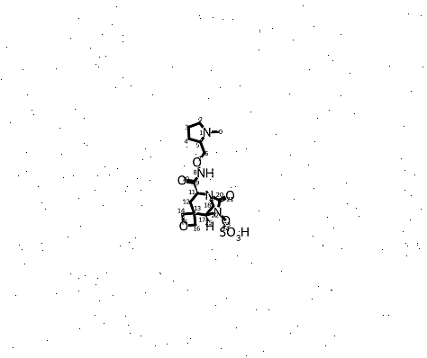 CN1CCCC1CONC(=O)[C@@H]1CC2(COC2)[C@@H]2CN1C(=O)N2OS(=O)(=O)O